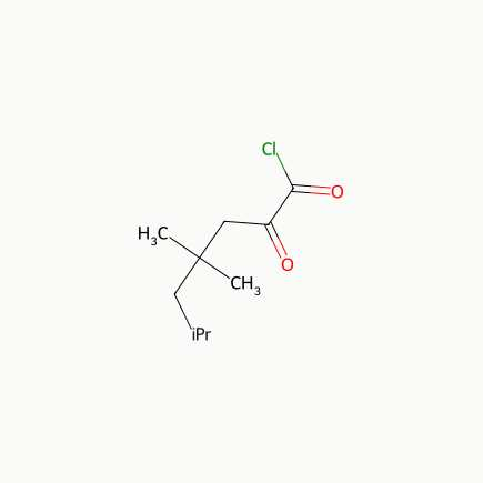 CC(C)CC(C)(C)CC(=O)C(=O)Cl